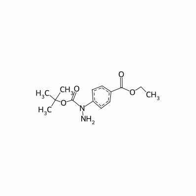 CCOC(=O)c1ccc(N(N)C(=O)OC(C)(C)C)cc1